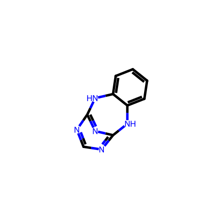 c1ccc2c(c1)Nc1ncnc(n1)N2